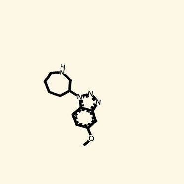 COc1ccc2c(c1)nnn2C1CCCCNC1